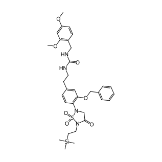 COc1ccc(CNC(=O)NCCc2ccc(N3CC(=O)N(CC[Si](C)(C)C)S3(=O)=O)c(OCc3ccccc3)c2)c(OC)c1